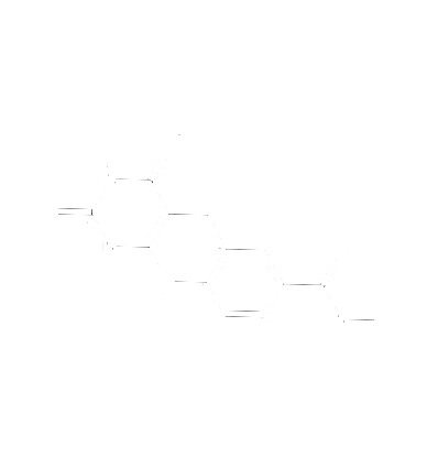 CCNC(=O)c1ccc2c(c1)Cc1c([nH]c(=S)[nH]c1=O)O2